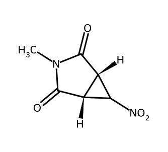 CN1C(=O)[C@@H]2C([N+](=O)[O-])[C@@H]2C1=O